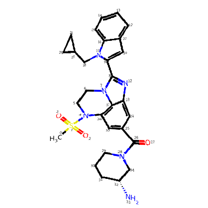 CS(=O)(=O)N1CCn2c(-c3cc4ccccc4n3CC3CC3)nc3cc(C(=O)N4CCC[C@@H](N)C4)cc1c32